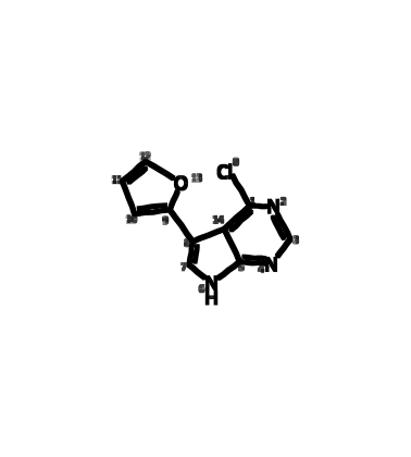 Clc1ncnc2[nH]cc(-c3ccco3)c12